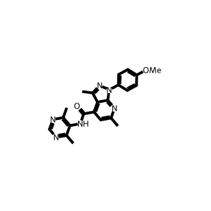 COc1ccc(-n2nc(C)c3c(C(=O)Nc4c(C)ncnc4C)cc(C)nc32)cc1